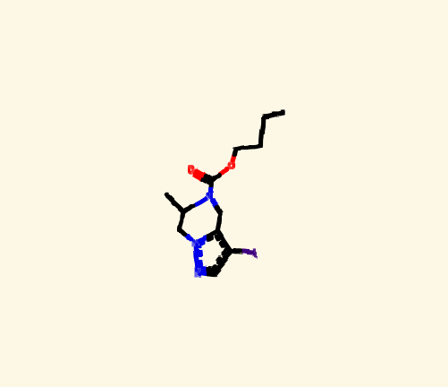 CCCCOC(=O)N1Cc2c(I)cnn2CC1C